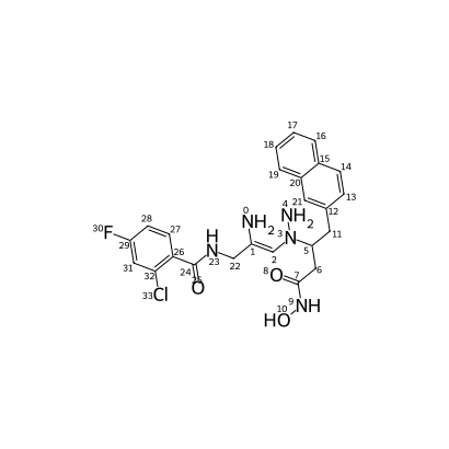 N/C(=C\N(N)C(CC(=O)NO)Cc1ccc2ccccc2c1)CNC(=O)c1ccc(F)cc1Cl